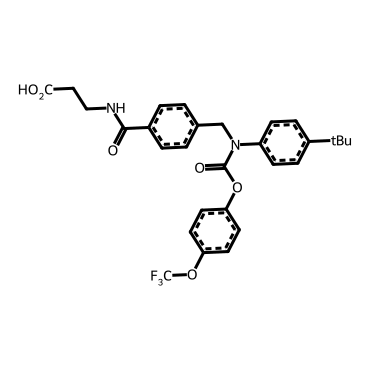 CC(C)(C)c1ccc(N(Cc2ccc(C(=O)NCCC(=O)O)cc2)C(=O)Oc2ccc(OC(F)(F)F)cc2)cc1